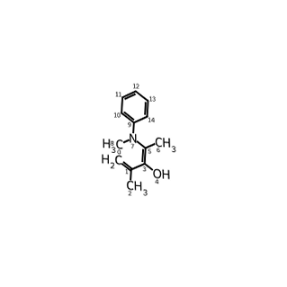 C=C(C)/C(O)=C(/C)N(C)c1ccccc1